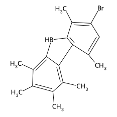 Cc1cc(Br)c(C)c2c1-c1c(C)c(C)c(C)c(C)c1B2